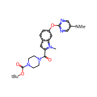 CNc1cnc(Oc2ccc3cc(C(=O)N4CCN(C(=O)OC(C)(C)C)CC4)n(C)c3c2)nc1